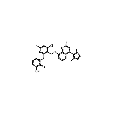 Cc1cc(Cl)c(COc2cccc3c(-c4[nH]ncc4C)cc(C)nc23)c(Cn2cccc(C#N)c2=O)n1